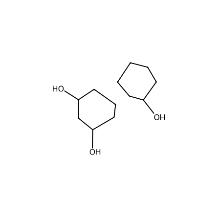 OC1CCCC(O)C1.OC1CCCCC1